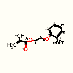 C=C(C)C(=O)OCCOc1ccccc1CCC